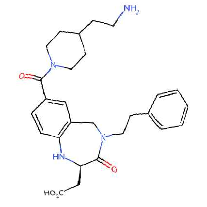 NCCC1CCN(C(=O)c2ccc3c(c2)CN(CCc2ccccc2)C(=O)[C@@H](CC(=O)O)N3)CC1